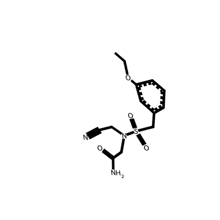 CCOc1cccc(CS(=O)(=O)N(CC#N)CC(N)=O)c1